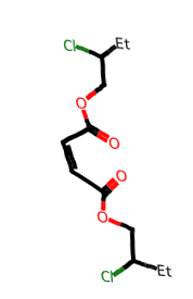 CCC(Cl)COC(=O)/C=C\C(=O)OCC(Cl)CC